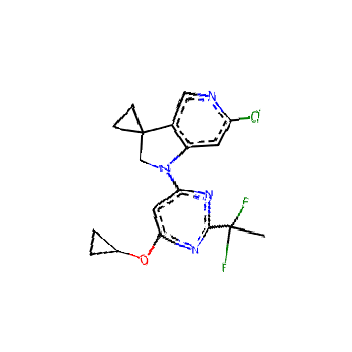 CC(F)(F)c1nc(OC2CC2)cc(N2CC3(CC3)c3cnc(Cl)cc32)n1